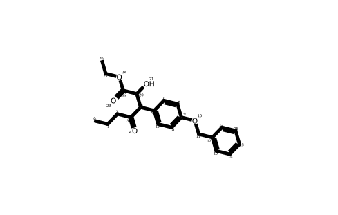 CCCC(=O)C(c1ccc(OCc2ccccc2)cc1)C(O)C(=O)OCC